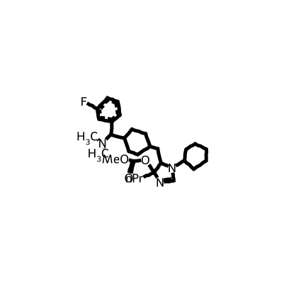 CCCC1(OC(=O)OC)N=CN(C2CCCCC2)C1CC1CCC(C(c2cccc(F)c2)N(C)C)CC1